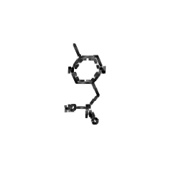 Cc1cnc(C[PH](=O)O)cn1